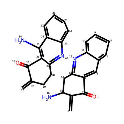 C=C1C(=O)c2cc3ccccc3nc2CC1N.C=C1CCc2nc3ccccc3c(N)c2C1=O